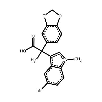 Cn1cc(C(C)(C(=O)O)c2ccc3c(c2)OCO3)c2cc(Br)ccc21